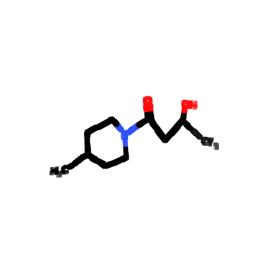 CC1CCN(C(=O)CC(O)C(F)(F)F)CC1